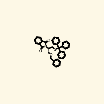 O=C1c2ccccc2C(=O)N1[C@@H](COCc1ccccc1)CSC(c1ccccc1)(c1ccccc1)c1ccccc1